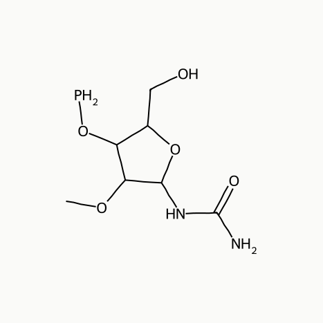 COC1C(NC(N)=O)OC(CO)C1OP